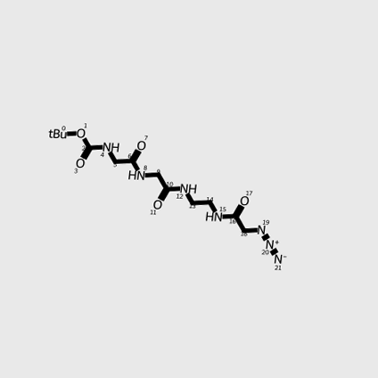 CC(C)(C)OC(=O)NCC(=O)NCC(=O)NCCNC(=O)CN=[N+]=[N-]